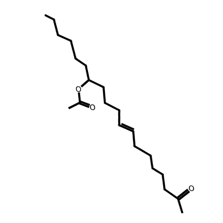 CCCCCCC(CCCC=CCCCCCC(C)=O)OC(C)=O